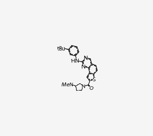 CNC1CCN(C(=O)c2cc3c(ccc4cnc(Nc5cccc(C(C)(C)C)c5)nc43)s2)C1